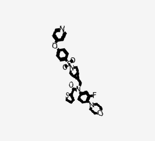 O=C(c1cccs1)N(CC1C2CN(S(=O)(=O)c3ccc(Oc4ccncc4)cc3)CC12)c1ccc(N2CCOCC2)c(F)c1